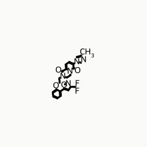 Cc1cn(-c2ccc3n(c2=O)CCN(CCOc2ccccc2-c2cc(C(F)F)no2)C3=O)cn1